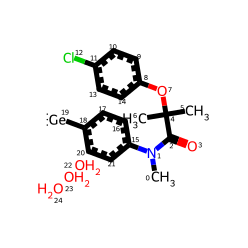 CN(C(=O)C(C)(C)Oc1ccc(Cl)cc1)c1cc[c]([Ge])cc1.O.O.O